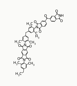 CCc1cc(C)c(-n2c(=O)c3cc4c(=O)n(-c5c(C)cc(Cc6cc(C)c(N7C(=O)c8ccc(C(=O)c9ccc%10c(c9)C(=O)NC%10=O)cc8C7=O)c(C)c6)cc5C)c(=O)c4cc3c2=O)c(C)c1